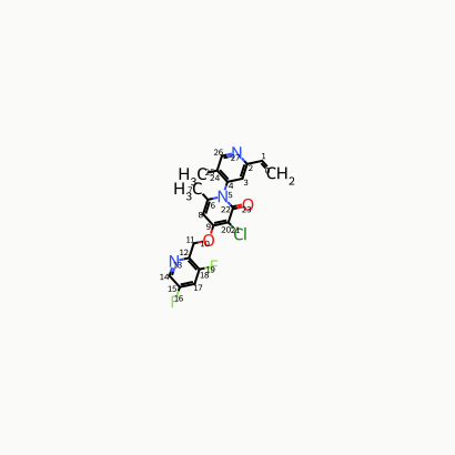 C=Cc1cc(-n2c(C)cc(OCc3ncc(F)cc3F)c(Cl)c2=O)c(C)cn1